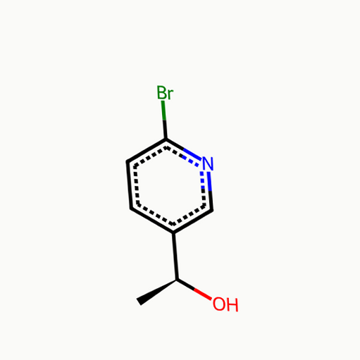 C[C@H](O)c1ccc(Br)nc1